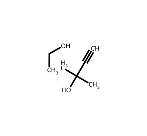 C#CC(C)(C)O.CCO